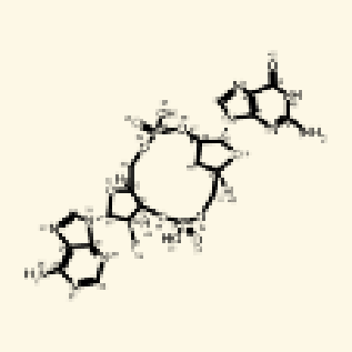 Nc1nc2c(ncn2[C@@H]2O[C@@H]3COP(=O)(O)O[C@H]4[C@@H](F)[C@H](n5cnc6c(N)ncnc65)O[C@@H]4COP(=O)(O)O[C@@H]2C3)c(=O)[nH]1